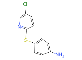 Nc1ccc(Sc2ccc(Cl)cn2)cc1